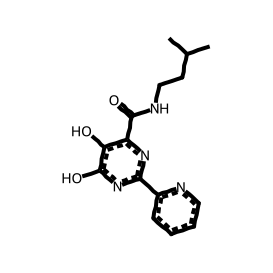 CC(C)CCNC(=O)c1nc(-c2ccccn2)nc(O)c1O